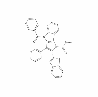 COC(=O)n1c(-c2cc3ccccc3s2)c(-c2ccccc2)c2c1c1ccccc1n2C(=O)c1ccccc1